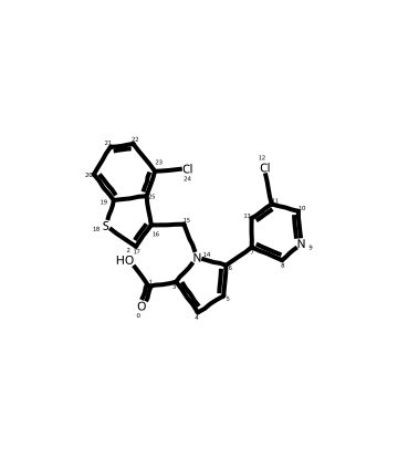 O=C(O)c1ccc(-c2cncc(Cl)c2)n1Cc1csc2cccc(Cl)c12